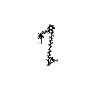 ON=C(CCCCCCCCCCCCCCc1ccccc1OCCCc1c[nH]cn1)CC1CC1